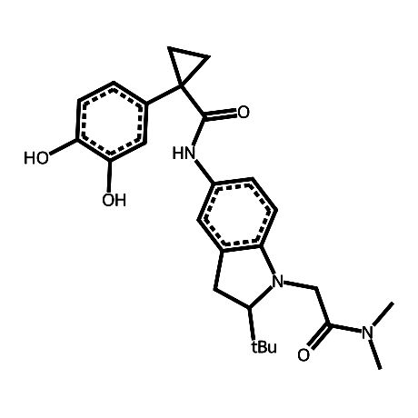 CN(C)C(=O)CN1c2ccc(NC(=O)C3(c4ccc(O)c(O)c4)CC3)cc2CC1C(C)(C)C